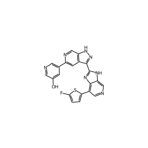 Oc1cncc(-c2cc3c(-c4nc5c(-c6ccc(F)s6)cncc5[nH]4)n[nH]c3cn2)c1